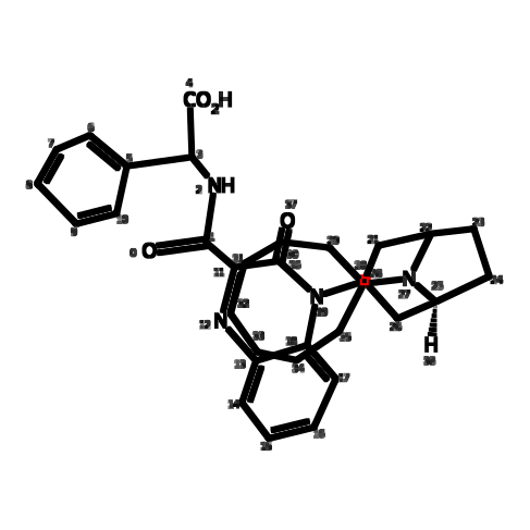 O=C(NC(C(=O)O)c1ccccc1)c1nc2ccccc2n(C2CC3CC[C@@H](C2)N3C2CCCCCCC2)c1=O